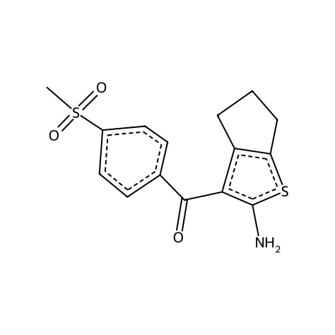 CS(=O)(=O)c1ccc(C(=O)c2c(N)sc3c2CCC3)cc1